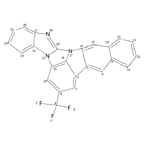 FC(F)(F)c1cc2c3cc4ccccc4cc3n3c2c(c1)n1c2ccccc2nc13